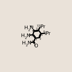 CC(C)c1cc(C(N)=O)c(N)c(N)c1C(C)C